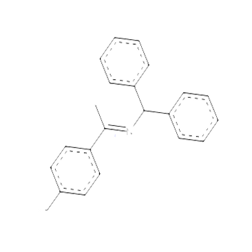 C/C(=N\C(c1ccccc1)c1ccccc1)c1ccc(Cl)cc1